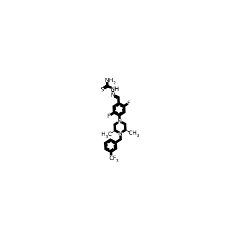 C[C@@H]1CN(c2cc(F)c(C=NNC(N)=S)cc2F)C[C@H](C)N1Cc1cccc(C(F)(F)F)c1